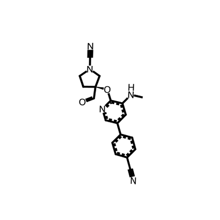 CNc1cc(-c2ccc(C#N)cc2)cnc1O[C@@]1(C=O)CCN(C#N)C1